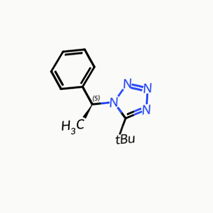 C[C@@H](c1ccccc1)n1nnnc1C(C)(C)C